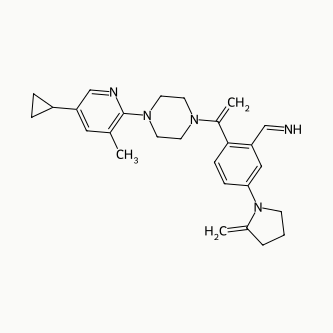 C=C(c1ccc(N2CCCC2=C)cc1C=N)N1CCN(c2ncc(C3CC3)cc2C)CC1